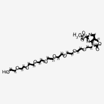 CS(=O)(=O)c1ncc2c(n1)N(CCOCCOCCOCCOCCOCCOCCOCCOCCO)C(=O)OC2